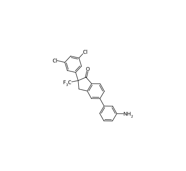 Nc1cccc(-c2ccc3c(c2)CC(c2cc(Cl)cc(Cl)c2)(C(F)(F)F)C3=O)c1